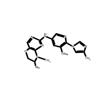 COc1cc(Nc2ncc3c(n2)N(C)C(C(C)(C)C)CO3)cnc1-n1cnc(C)c1